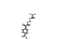 CC(C)NCCCNC(=O)c1ccc(C(C)C)cc1